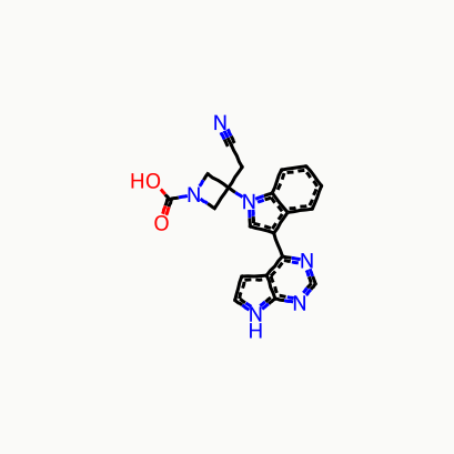 N#CCC1(n2cc(-c3ncnc4[nH]ccc34)c3ccccc32)CN(C(=O)O)C1